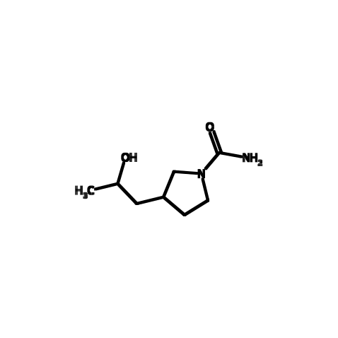 CC(O)CC1CCN(C(N)=O)C1